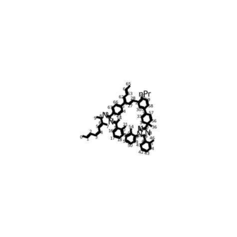 C/C=C/C=C\C=C(/C)C(C)/N=C(\N=C(/C)c1ccccc1C)c1ccc(C(/C=C/c2cc(C3=CCC(C)(c4nc(-c5ccccc5C)n(-c5ccccc5C)n4)C=C3)ccc2CCC)=C/C=C/C)cc1